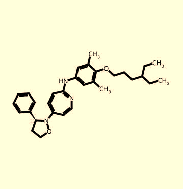 CCC(CC)CCCOc1c(C)cc(NC2=NC=CC(N3OCC[C@H]3c3ccccc3)=C=C2)cc1C